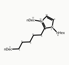 CCCCCCCCCCCCCCCc1n(CCCCCC)cc[n+]1CCCCCCCCCC